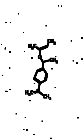 CC=C(C)OC(C)c1ccc(N(C)C)cc1